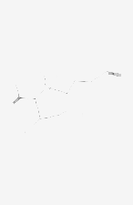 CCC(C)C(C(=O)O)N(C)CCCC=O